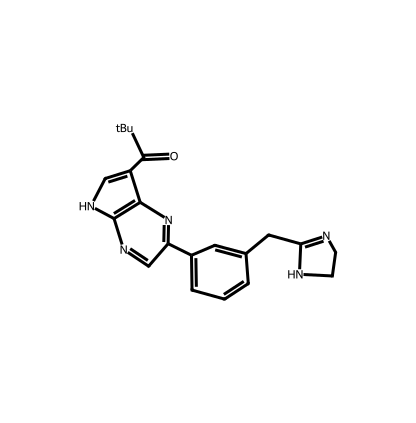 CC(C)(C)C(=O)c1c[nH]c2ncc(-c3cccc(CC4=NCCN4)c3)nc12